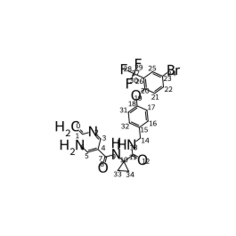 C=C/N=C\C(=C/N)C(=O)NC1(C(=O)NCc2ccc(Oc3ccc(Br)cc3C(F)(F)F)cc2)CC1